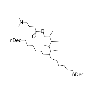 CCCCCCCCCCCCCCCCC(CCCCCCCCCCCCCCCC)C(C)C(C)C(C)C(C)COC(=O)CCCN(C)C